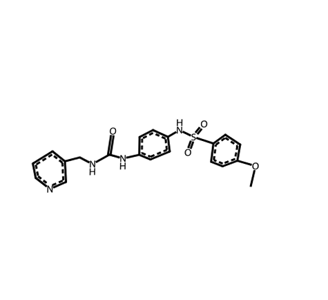 COc1ccc(S(=O)(=O)Nc2ccc(NC(=O)NCc3cccnc3)cc2)cc1